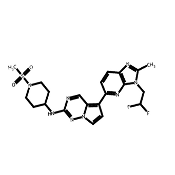 Cc1nc2ccc(-c3ccn4nc(NC5CCN(S(C)(=O)=O)CC5)ncc34)nc2n1CC(F)F